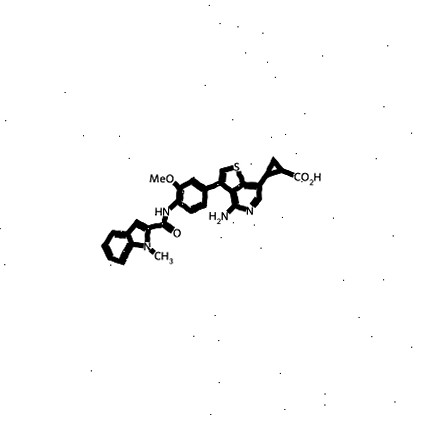 COc1cc(-c2csc3c(C4CC4C(=O)O)cnc(N)c23)ccc1NC(=O)c1cc2ccccc2n1C